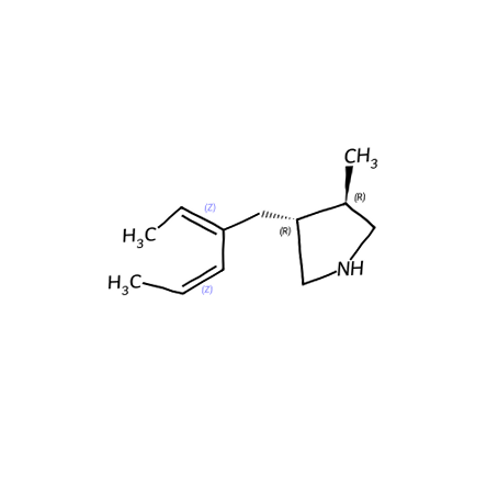 C/C=C\C(=C/C)C[C@H]1CNC[C@@H]1C